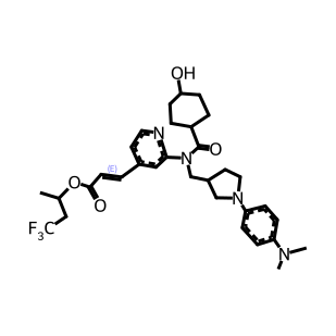 CC(CC(F)(F)F)OC(=O)/C=C/c1ccnc(N(CC2CCN(c3ccc(N(C)C)cc3)C2)C(=O)C2CCC(O)CC2)c1